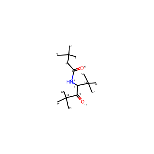 CC(C)(C)CC(=O)NC(C(=O)C(C)(C)C)C(C)(C)C